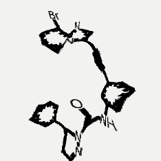 O=C(Nc1cccc(C#Cc2cnc3c(Br)cccn23)c1)N1N=CCC1c1ccccc1